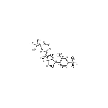 CC1(S(=O)(=O)c2cccc(C(F)(F)F)c2)COC(c2ncc(S(C)(=O)=O)cc2Cl)C1